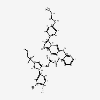 CSCC(C)(C)c1cc(NC(=O)NCc2ccccc2Sc2ccc3nnc(-c4ccc(OCCO)cc4)n3c2)n(-c2ccc(Cl)c(O)c2)n1